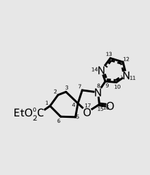 CCOC(=O)C1CCC2(CC1)CN(c1cnccn1)C(=O)O2